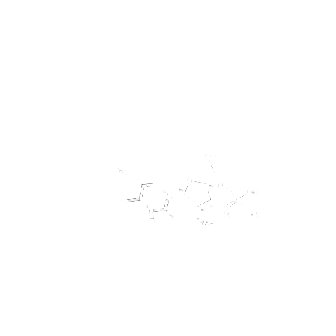 CO[C@H]1[C@@H]([SH]=P(O)(O)O)[C@@H](CO)O[C@H]1n1cc(C)c(=O)[nH]c1=O